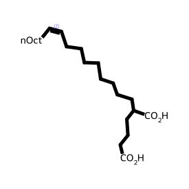 CCCCCCCC/C=C\CCCCCCCCC(CCCC(=O)O)C(=O)O